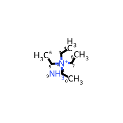 CC[N+](CC)(CC)CC.N